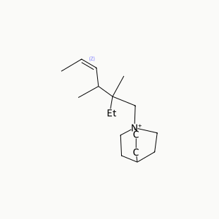 C/C=C\C(C)C(C)(CC)C[N+]12CCC(CC1)CC2